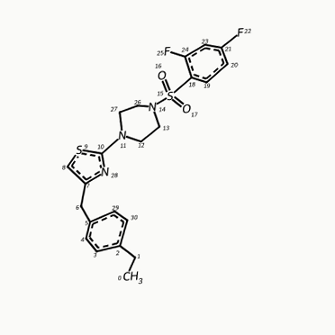 CCc1ccc(Cc2csc(N3CCN(S(=O)(=O)c4ccc(F)cc4F)CC3)n2)cc1